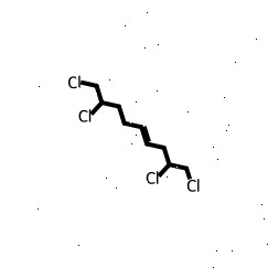 ClCC(Cl)CC=CCCC(Cl)CCl